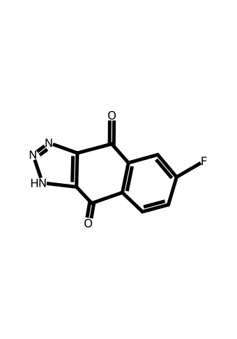 O=C1c2cc(F)ccc2C(=O)c2[nH]nnc21